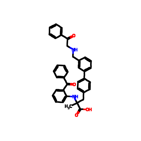 CC(Cc1ccc(-c2cccc(CNCC(=O)c3ccccc3)c2)cc1)(Nc1ccccc1C(=O)c1ccccc1)C(=O)O